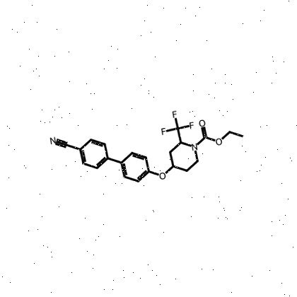 CCOC(=O)N1CCC(Oc2ccc(-c3ccc(C#N)cc3)cc2)CC1C(F)(F)F